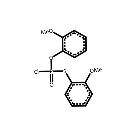 COc1ccccc1OP(=O)(Cl)Sc1ccccc1OC